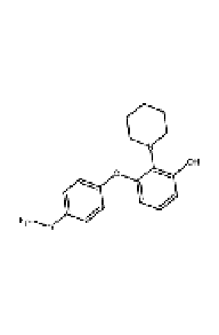 Oc1cccc(Oc2ccc(OC(F)(F)F)cc2)c1N1CCCCC1